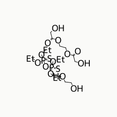 CCOP(=S)(OCC)OP(=S)(OCC)OCC.O=C(CO)OCCOC(=O)CO.OCCO